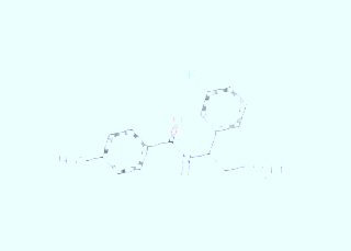 CCOC(=O)CC(NC(=O)c1ccc(C)cc1)c1cccc(F)c1